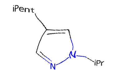 CCCC(C)c1cnn(C(C)C)c1